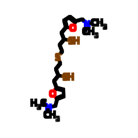 CN(C)Cc1ccc(CC(S)CCSCCC(S)Cc2ccc(CN(C)C)o2)o1